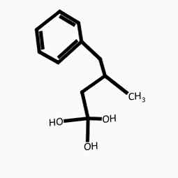 CC(Cc1ccccc1)CC(O)(O)O